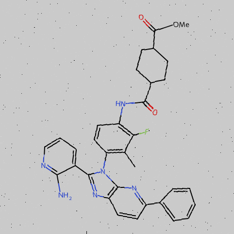 COC(=O)C1CCC(C(=O)Nc2ccc(-n3c(-c4cccnc4N)nc4ccc(-c5ccccc5)nc43)c(C)c2F)CC1